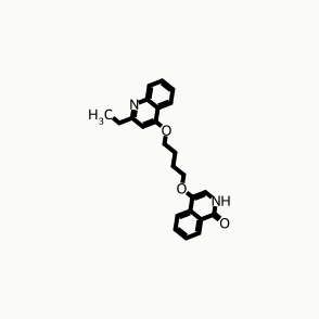 CCc1cc(OCCCCOc2c[nH]c(=O)c3ccccc23)c2ccccc2n1